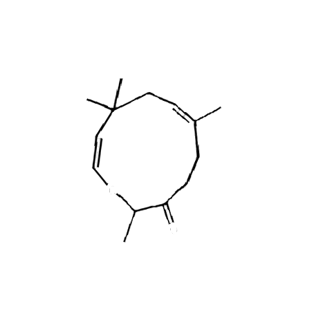 C/C1=C/CC(C)(C)/C=C\CC(C)C(=O)CC1